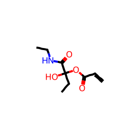 C=CC(=O)OC(O)(CC)C(=O)NCC